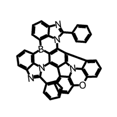 c1ccc(-c2nc3cccc4c3n2-c2c3c(c5c6cccc7c6n6c8c(cccc8c2c56)O7)-n2c(-c5ccccc5)nc5cccc(c52)B34)cc1